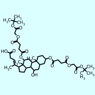 CC(CCC(=O)O)C1CCC2C3C(O)CC4CC(OC(=O)CCC(=O)OCC(=O)OC(C)(C)C)CCC4(C)C3CC(OC(=O)CCC(=O)OCC(=O)OC(C)(C)C)C12C